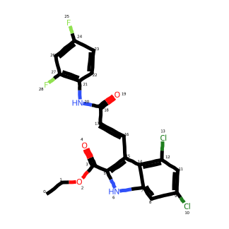 CCOC(=O)c1[nH]c2cc(Cl)cc(Cl)c2c1C=CC(=O)Nc1ccc(F)cc1F